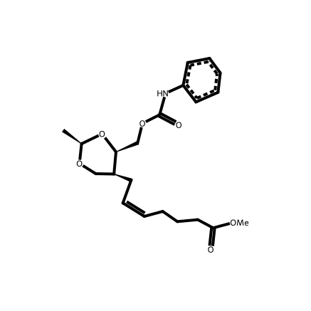 COC(=O)CCC/C=C\C[C@H]1CO[C@@H](C)O[C@H]1COC(=O)Nc1ccccc1